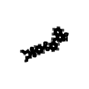 CCCN(CCC)S(=O)(=O)c1ccc(C(=O)Oc2cccc(Cc3n[nH]c(=O)c4ccccc34)c2)cc1